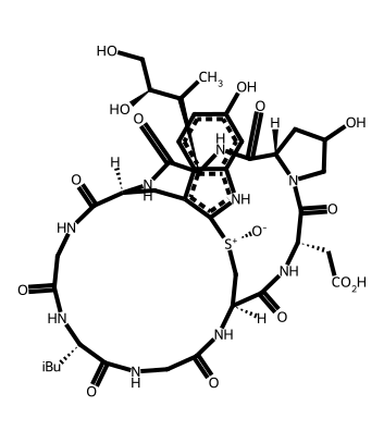 CCC(C)[C@@H]1NC(=O)CNC(=O)[C@@H]2Cc3c([nH]c4cc(O)ccc34)[S@+]([O-])C[C@H](NC(=O)CNC1=O)C(=O)N[C@@H](CC(=O)O)C(=O)N1CC(O)C[C@H]1C(=O)N[C@@H](C(C)[C@@H](O)CO)C(=O)N2